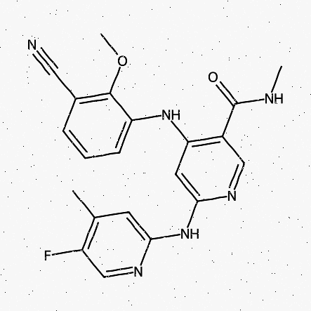 CNC(=O)c1cnc(Nc2cc(C)c(F)cn2)cc1Nc1cccc(C#N)c1OC